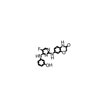 O=C1COc2cc(Nc3ncc(F)c(Nc4cccc(O)c4)n3)ccc2N1